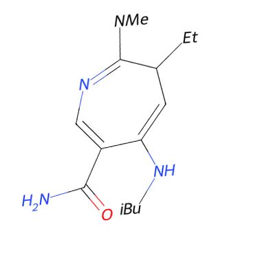 CCC(C)NC1=CC(CC)C(NC)=NC=C1C(N)=O